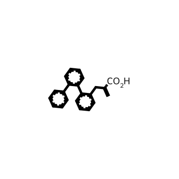 C=C(Cc1ccccc1-c1ccccc1-c1ccccc1)C(=O)O